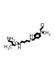 CC(CCN)CONCCCCNCc1ccc(N(C)CCCl)cc1